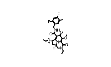 CCN[C@H]1C[C@@H]2CN(CC)C(=O)c3c(OC)c(=O)c(C(=O)NCc4cc(I)c(F)cc4F)c1n32